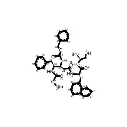 CC(C)[C@@H](CO)NC(=O)[C@H](Cc1cccc2ccccc12)NC(=O)C[C@H](NC(=O)OCc1ccccc1)[C@H](Cc1ccccc1)NC(=O)OC(C)(C)C